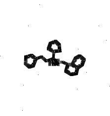 c1ccc(CCC(NCc2cccc3ccccc23)c2ccccc2)cc1